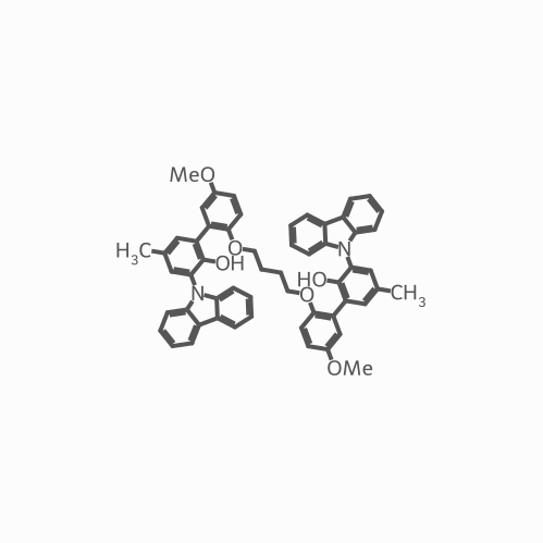 COc1ccc(OCCCCOc2ccc(OC)cc2-c2cc(C)cc(-n3c4ccccc4c4ccccc43)c2O)c(-c2cc(C)cc(-n3c4ccccc4c4ccccc43)c2O)c1